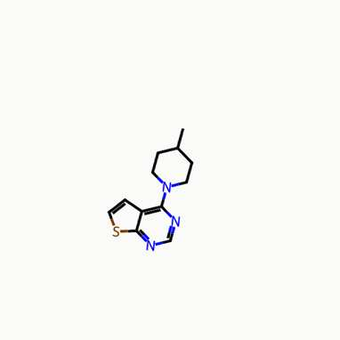 CC1CCN(c2ncnc3sccc23)CC1